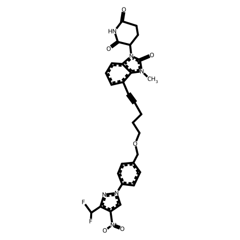 Cn1c(=O)n(C2CCC(=O)NC2=O)c2cccc(C#CCCCOCc3ccc(-n4cc([N+](=O)[O-])c(C(F)F)n4)cc3)c21